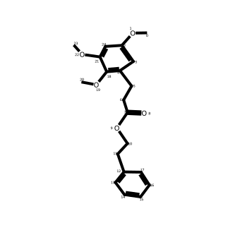 COc1cc(CCC(=O)OCCc2ccccc2)c(OC)c(OC)c1